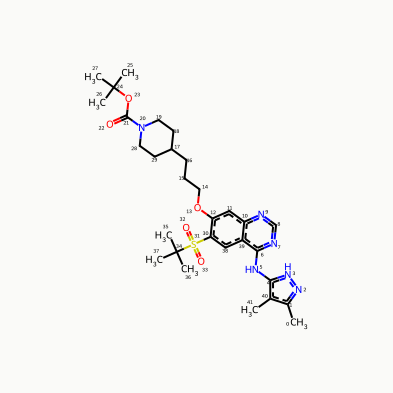 Cc1n[nH]c(Nc2ncnc3cc(OCCCC4CCN(C(=O)OC(C)(C)C)CC4)c(S(=O)(=O)C(C)(C)C)cc23)c1C